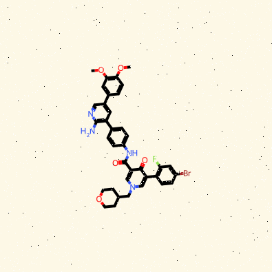 COc1ccc(-c2cnc(N)c(-c3ccc(NC(=O)c4cn(CC5CCOCC5)cc(-c5ccc(Br)cc5F)c4=O)cc3)c2)cc1OC